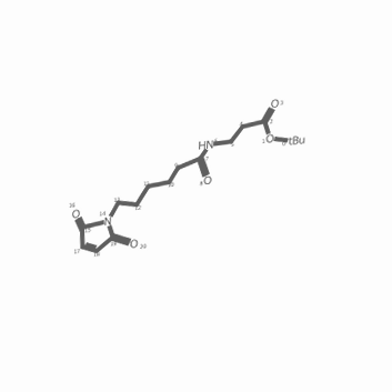 CC(C)(C)OC(=O)CCNC(=O)CCCCCN1C(=O)C=CC1=O